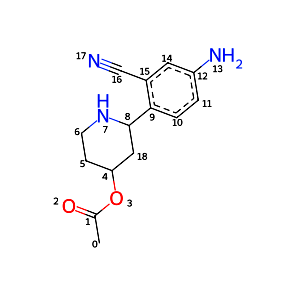 CC(=O)OC1CCNC(c2ccc(N)cc2C#N)C1